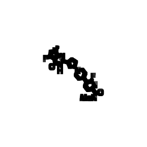 CNC(=O)c1ccc(C2=CCN(C3C=C(c4nc5c(c(F)cn5C)c(=O)[nH]4)CC3)CC2)c(F)n1